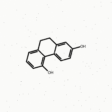 Oc1ccc2c(c1)CCc1cccc(O)c1-2